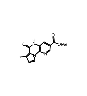 COC(=O)c1cnc2c(c1)[nH]c(=O)c1c(C)ccn12